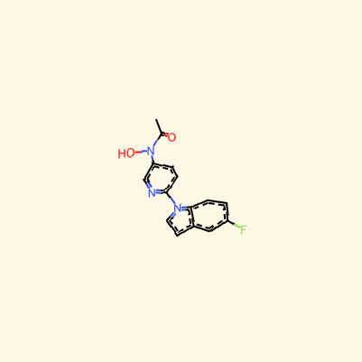 CC(=O)N(O)c1ccc(-n2ccc3cc(F)ccc32)nc1